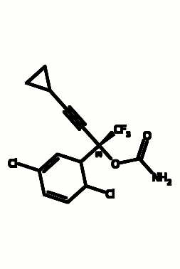 NC(=O)O[C@@](C#CC1CC1)(C1C=C(Cl)C=CC1Cl)C(F)(F)F